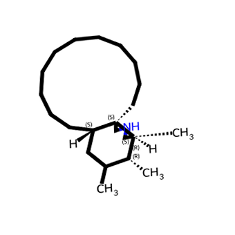 CC1C[C@@H]2CCCCCCCCCCC[C@]23CN[C@@H](C)[C@@H]3[C@@H]1C